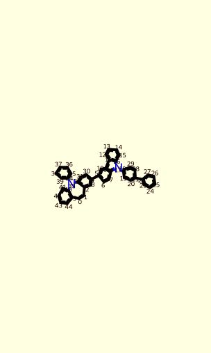 C1=Cc2cc(-c3ccc4c(c3)c3ccccc3n4-c3ccc(-c4ccccc4)cc3)ccc2N(c2ccccc2)c2ccccc21